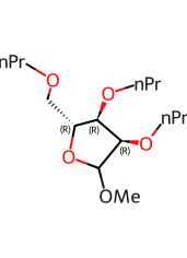 CCCOC[C@H]1OC(OC)[C@H](OCCC)[C@@H]1OCCC